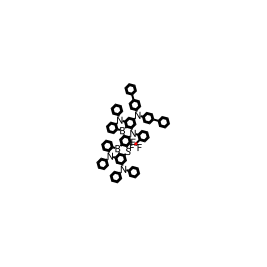 FC(F)(F)c1ccccc1N1c2cc3c(cc2B2c4ccccc4N(c4ccccc4)c4cc(N(c5ccc(-c6ccccc6)cc5)c5ccc(-c6ccccc6)cc5)cc1c42)B1c2ccccc2N(c2ccccc2)c2cc(N(c4ccccc4)c4ccccc4)cc(c21)S3